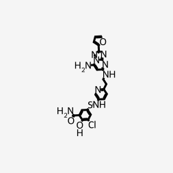 NC(=O)c1cc(SNc2ccc(CCNc3cc(N)n4nc(-c5ccco5)nc4n3)nc2)cc(Cl)c1O